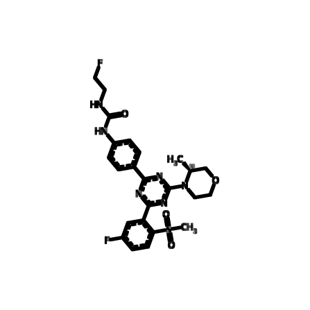 C[C@H]1COCCN1c1nc(-c2ccc(NC(=O)NCCF)cc2)nc(-c2cc(F)ccc2S(C)(=O)=O)n1